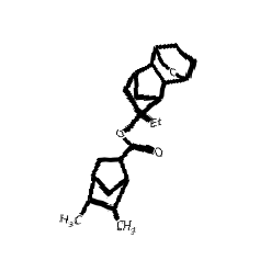 CCC1(OC(=O)C2CC3CC2C(C)C3C)CC2CC1C1C3CCC(CC3)C21